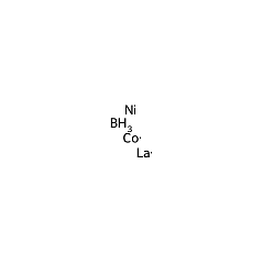 B.[Co].[La].[Ni]